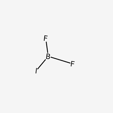 FB(F)I